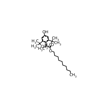 CCCCCCCCCCOC(=O)C(C)c1c(C(C)(C)C)cc(O)cc1C(C)(C)C